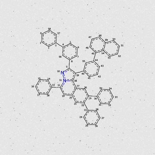 c1ccc(-c2cccc(-c3nn4c(-c5ccccc5)cc5cc(-c6ccccc6)c(-c6ccccc6)cc5c4c3-c3cccc(-c4cccc5ccccc45)c3)c2)cc1